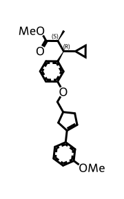 COC(=O)[C@@H](C)[C@H](c1cccc(OCC2CC=C(c3cccc(OC)c3)C2)c1)C1CC1